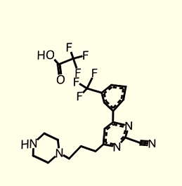 N#Cc1nc(CCCN2CCNCC2)cc(-c2cccc(C(F)(F)F)c2)n1.O=C(O)C(F)(F)F